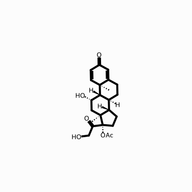 CC(=O)O[C@@]1(C(=O)CO)CC[C@H]2[C@@H]3CCC4=CC(=O)C=C[C@]4(C)[C@H]3[C@@H](O)C[C@@]21C